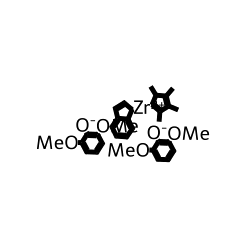 CC1=C(C)C(C)[C]([Zr+2][CH]2C=Cc3ccccc32)=C1C.COc1cccc(OC)c1[O-].COc1cccc(OC)c1[O-]